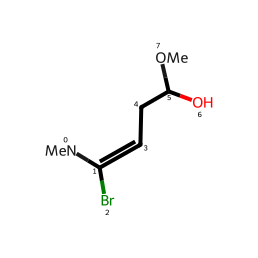 CN/C(Br)=C\CC(O)OC